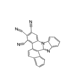 N#Cc1cc2c(c(C#N)c1C#N)c1ccc3ccccc3c1c1nc3ccccc3n21